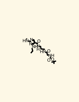 CCCNc1nc(NC)ncc1C(=O)NCCCNC(=O)CNC(=O)OC(C)(C)C